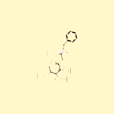 C/C(C[C@@H]1OC[C@@H](O)[C@H](O)[C@H]1O)=N\Cc1ccccc1